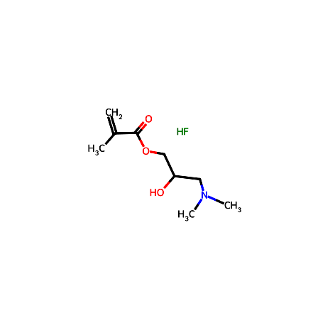 C=C(C)C(=O)OCC(O)CN(C)C.F